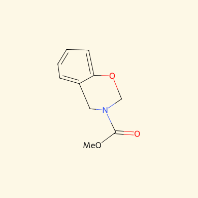 COC(=O)N1COc2ccccc2C1